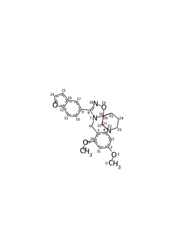 COc1ccc(CN2C(c3ccc4occc4c3)=NOC23CN2CCC3CC2)c(OC)c1